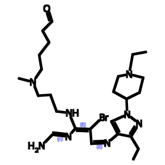 CCc1nn(C2CCN(CC)CC2)cc1\N=C/C(Br)=C(\N=C\N)NCCCN(C)CCCCC=O